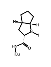 CCC(C)NC(=O)[C@@H]1C[C@@H]2CCC[C@@H]2N1I